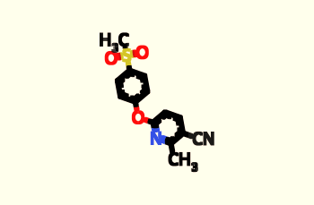 Cc1nc(Oc2ccc(S(C)(=O)=O)cc2)ccc1C#N